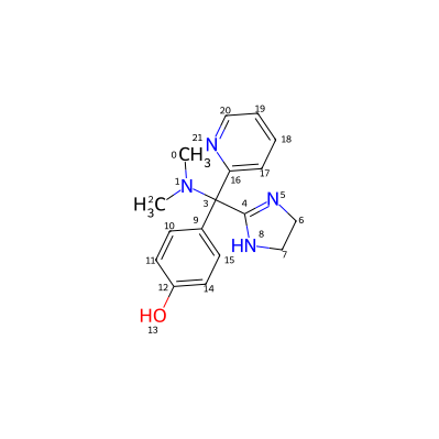 CN(C)C(C1=NCCN1)(c1ccc(O)cc1)c1ccccn1